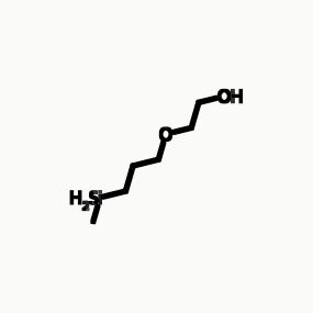 C[SiH2]CCCOCCO